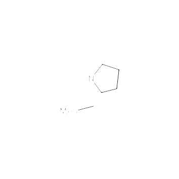 CSC[C@H]1CCCN1